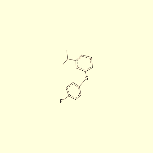 CC(C)c1cccc(Sc2ccc(F)cc2)c1